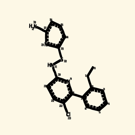 CCc1ccccc1-c1nc(NSc2cccc(N)n2)ccc1Cl